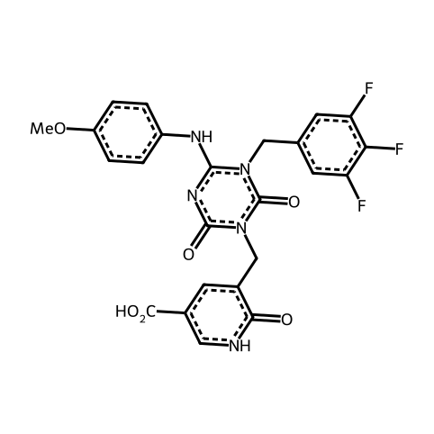 COc1ccc(Nc2nc(=O)n(Cc3cc(C(=O)O)c[nH]c3=O)c(=O)n2Cc2cc(F)c(F)c(F)c2)cc1